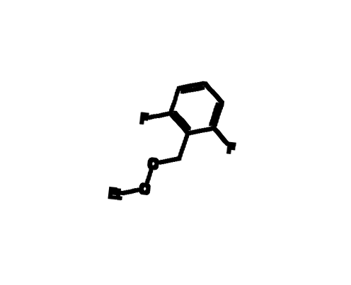 CCOOCc1c(F)cccc1F